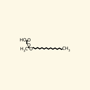 CCCCCCCCCCCCCCCOC(C)OCC(=O)O